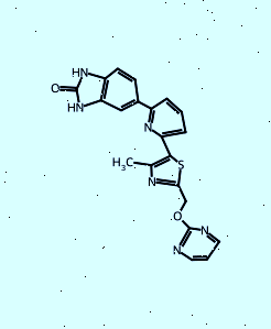 Cc1nc(COc2ncccn2)sc1-c1cccc(-c2ccc3[nH]c(=O)[nH]c3c2)n1